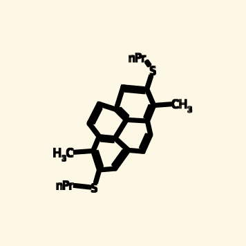 CCCSc1cc2ccc3c(C)c(SCCC)cc4ccc(c1C)c2c43